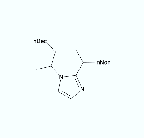 CCCCCCCCCCCC(C)n1ccnc1C(C)CCCCCCCCC